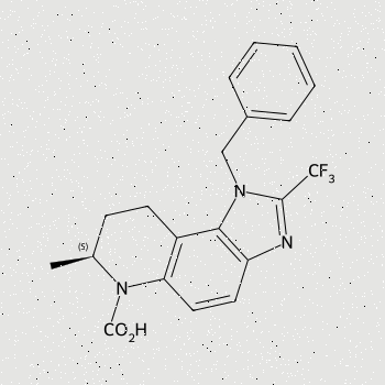 C[C@H]1CCc2c(ccc3nc(C(F)(F)F)n(Cc4ccccc4)c23)N1C(=O)O